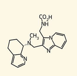 CN(Cc1nc2ccccn2c1CNC(=O)O)[C@H]1CCCc2cccnc21